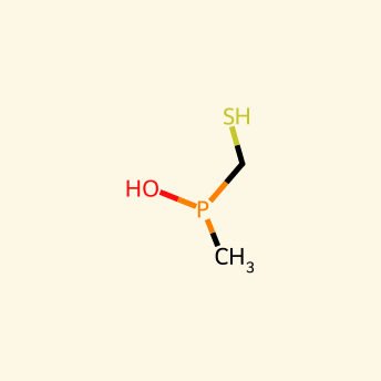 CP(O)CS